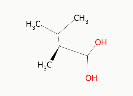 CC(C)[C@H](C)C(O)O